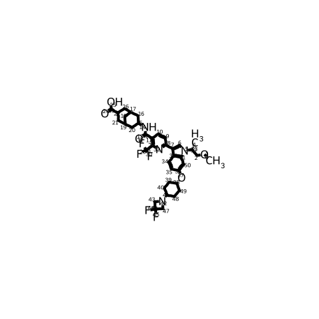 COC[C@@H](C)n1cc(-c2ccc(C(=O)NC3CC4CC(C3)CC(C(=O)O)C4)c(C(F)(F)F)n2)c2ccc(O[C@H]3CC[C@H](N4CC(F)(F)C4)CC3)cc21